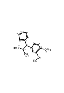 CCOc1cc(C(c2ccncc2)C(C)C(=O)O)ccc1OC